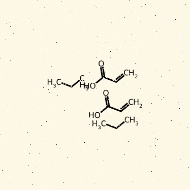 C=CC(=O)O.C=CC(=O)O.CCC.CCC